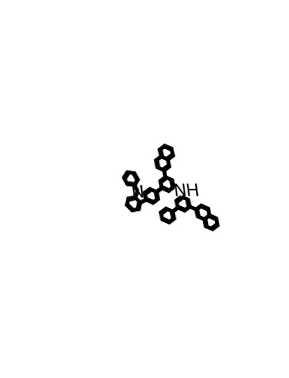 c1ccc(-c2cc(Nc3cc(-c4ccc5ccccc5c4)cc(-c4ccc5c6ccccc6n(-c6ccccc6)c5c4)c3)cc(-c3ccc4ccccc4c3)c2)cc1